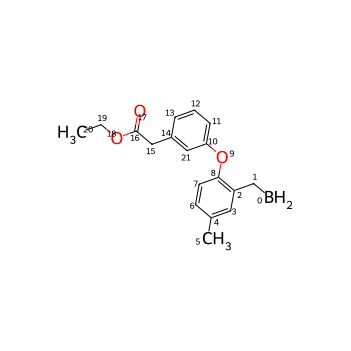 BCc1cc(C)ccc1Oc1cccc(CC(=O)OCC)c1